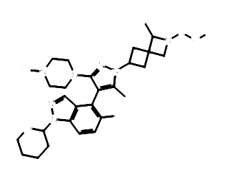 CC(=O)N1CCN(c2nn(C3CC4(C3)CN(SOC(=O)O)C4C)c(C)c2-c2c(Cl)ccc3c2cnn3C2CCCCO2)CC1